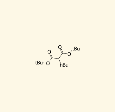 CCCCC(C(=O)OC(C)(C)C)C(=O)OC(C)(C)C